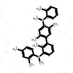 Cc1ccc(N(C)c2cccc(-c3cc(C)c(N(C)c4ccccc4C)cc3C)c2C)c(C)c1